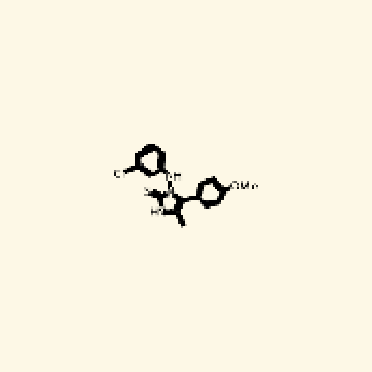 COc1ccc(-c2c(C)[nH]c(=S)n2Nc2cccc(Cl)c2)cc1